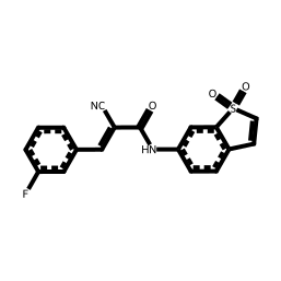 N#CC(=Cc1cccc(F)c1)C(=O)Nc1ccc2c(c1)S(=O)(=O)C=C2